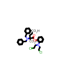 O=C(O)CCC(C(=O)O)(C(=O)Oc1ccccc1N(CCCl)CCCl)N(Cc1ccccc1)Cc1ccccc1